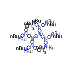 CCCCN(CCCC)c1ccc(N(c2ccc(C)cc2)c2ccc([N+](=C3C=CC(=[N+](c4ccc(N(c5ccc(N(CCCC)CCCC)cc5)c5ccc(N(CCCC)CCCC)cc5)cc4)c4ccc(N(c5ccc(N(CCCC)CCCC)cc5)c5ccc(N(CCCC)CCCC)cc5)cc4)C=C3)c3ccc(N(c4ccc(C)cc4)c4ccc(N(CCCC)CCCC)cc4)cc3)cc2)cc1